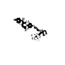 CC(C)(C)OC(=O)[C@@H](NCCCOc1cc(F)c(-n2c(N)c(C(=O)c3ccc(F)cc3F)ccc2=O)c(F)c1)C1CCCCC1